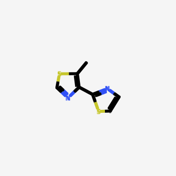 Cc1scnc1-c1nc[c]s1